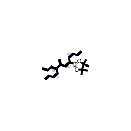 C=C/C=C\C(=C/C(=C)C(/C=C\C=C)=C/C=C)B1OC(C)(C)C(C)(C)O1